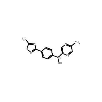 Cc1cnc([C@@H](O)c2ccc(-c3noc(C(F)(F)F)n3)cc2)cn1